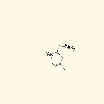 CC1=CCNC(CN)=C1